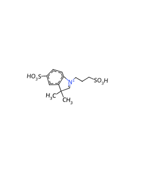 CC1(C)C=[N+](CCCS(=O)(=O)O)c2ccc(S(=O)(=O)O)cc21